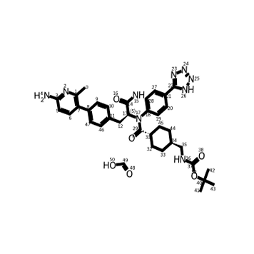 Cc1nc(N)ccc1-c1ccc(C[C@@H](C(N)=O)N(c2ccc(-c3nnn[nH]3)cc2)C(=O)[C@H]2CC[C@H](CNC(=O)OC(C)(C)C)CC2)cc1.O=CO